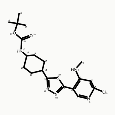 CNc1cc(Cl)ncc1-c1nnc(C2CCC(NC(=O)OC(C)(C)C)CC2)s1